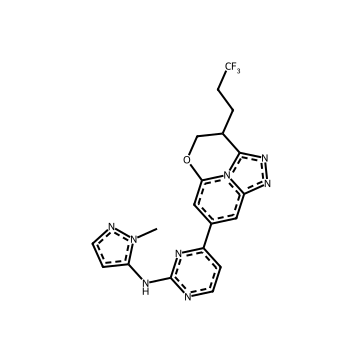 Cn1nccc1Nc1nccc(-c2cc3n4c(nnc4c2)C(CCC(F)(F)F)CO3)n1